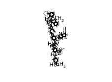 CC(C)c1ccccc1C1CN(Cc2ccccc2Cl)CCN1C1CC2(CCN(c3ccc(C(=O)NS(=O)(=O)c4ccc(NCC5CCC(C)(O)CC5)c([N+](=O)[O-])c4)c(Oc4cnc5[nH]ccc5c4)c3)CC2)C1